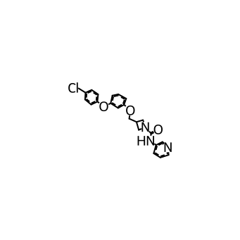 O=C(Nc1cccnc1)N1CC(COc2cccc(Oc3ccc(Cl)cc3)c2)C1